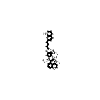 C[C@@H]1CCOc2cccc([C@H](C(=O)O)N(C)[C@H]3C[C@H](OCCCCc4ccc5c(n4)NCCC5)C(C)(C)C3)c21